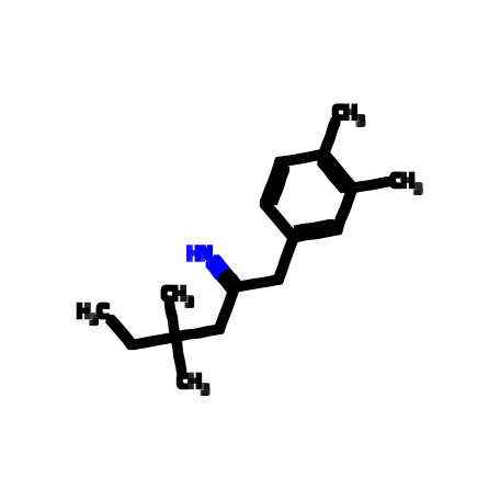 CCC(C)(C)CC(=N)Cc1ccc(C)c(C)c1